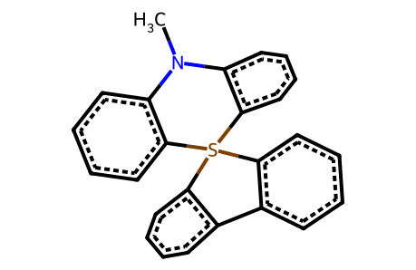 CN1c2ccccc2S2(c3ccccc3-c3ccccc32)c2ccccc21